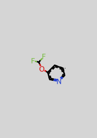 FC(F)Oc1c[c]cnc1